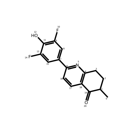 CC1CCc2nc(-c3cc(F)c(O)c(F)c3)ccc2C1=O